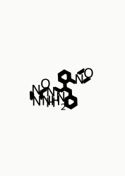 Nc1nccnc1C(=O)NCc1nc2ccccc2cc1-c1ccccc1CN1CCOCC1